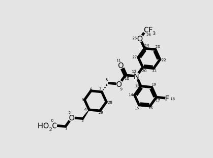 O=C(O)COC[C@H]1CC[C@H](COC(=O)N(c2cccc(F)c2)c2cccc(OC(F)(F)F)c2)CC1